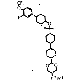 CCCCCC1COC(C2CCC(C3CCC(C(F)(F)OC4CCC(c5ccc(OC(F)(F)F)c(F)c5)CC4)CC3)CC2)OC1